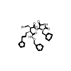 CC(C)C[C@@H](C(=O)NC1C(=O)NC(=O)N1Cc1ccccc1)[C@H](CC=Cc1ccccc1)C(=O)NOCc1ccccc1